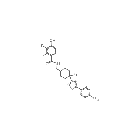 CCC1(c2nc(-c3ccc(C(F)(F)F)nn3)no2)CCC(CNC(=O)c2ccc(O)c(F)c2F)CC1